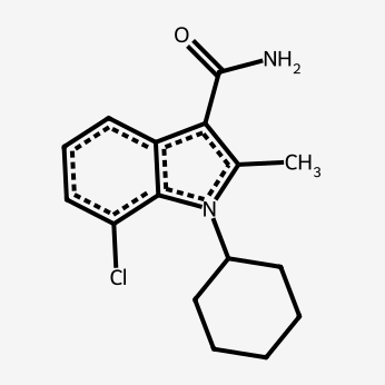 Cc1c(C(N)=O)c2cccc(Cl)c2n1C1CCCCC1